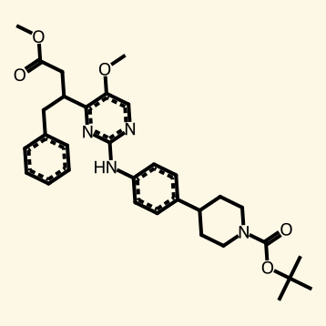 COC(=O)CC(Cc1ccccc1)c1nc(Nc2ccc(C3CCN(C(=O)OC(C)(C)C)CC3)cc2)ncc1OC